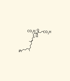 C/C(=C\CSCC(NC(=O)CCC(=O)O)C(=O)O)CCCC(C)CCCC(C)C